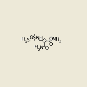 C[Si](C)(NCC1CC(C(=O)ON)=C1C(N)=O)O[SiH3]